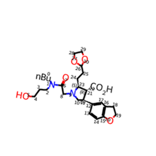 CCCCN(CCCO)C(=O)CN1C[C@H](c2ccc3c(c2)CCO3)[C@@H](C(=O)O)[C@@H]1CCC1OCCO1